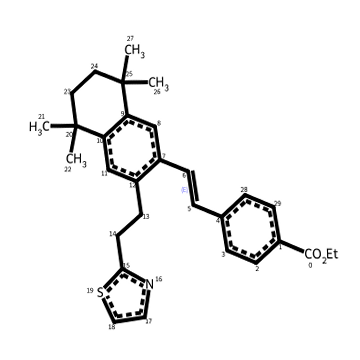 CCOC(=O)c1ccc(/C=C/c2cc3c(cc2CCc2nccs2)C(C)(C)CCC3(C)C)cc1